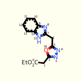 CCOC(=O)Cc1nnc(Cc2nc3ccccc3[nH]2)o1